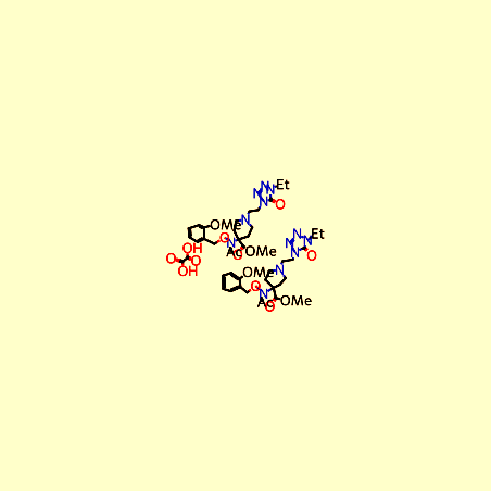 CCn1nnn(CCN2CCC(C(=O)OC)(N(OCc3ccccc3OC)C(C)=O)CC2)c1=O.CCn1nnn(CCN2CCC(C(=O)OC)(N(OCc3ccccc3OC)C(C)=O)CC2)c1=O.O=C(O)C(=O)O